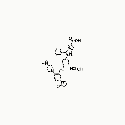 CN(C)C1CCN(c2ccc(N3CCCC3=O)cc2COc2ccc(-c3c(-c4ccccc4)c4sc(C(=O)O)cc4n3C)cc2)CC1.Cl.Cl